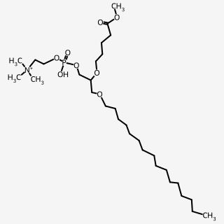 CCCCCCCCCCCCCCCCOCC(COP(=O)(O)OCC[N+](C)(C)C)OCCCCC(=O)OC